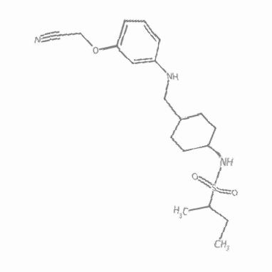 CCC(C)S(=O)(=O)NC1CCC(CNc2cccc(OCC#N)c2)CC1